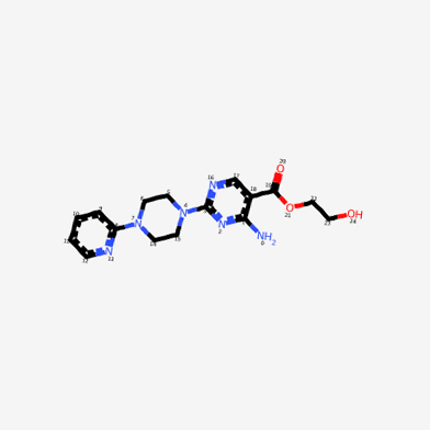 Nc1nc(N2CCN(c3ccccn3)CC2)ncc1C(=O)OCCO